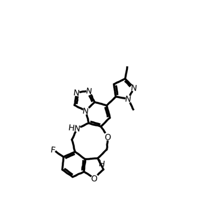 Cc1cc(-c2cc3c(n4cnnc24)NCc2c(F)ccc4c2[C@H](CO4)CO3)n(C)n1